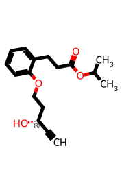 C#C[C@H](O)CCOc1ccccc1CCC(=O)OC(C)C